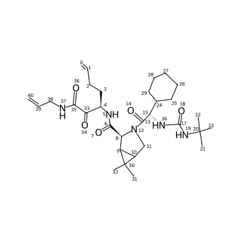 C=CCC[C@@H](NC(=O)[C@@H]1C2C(CN1C(=O)[C@@H](NC(=O)NC(C)(C)C)C1CCCCC1)C2(C)C)C(=O)C(=O)NCC=C